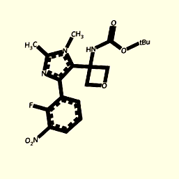 Cc1nc(-c2cccc([N+](=O)[O-])c2F)c(C2(NC(=O)OC(C)(C)C)COC2)n1C